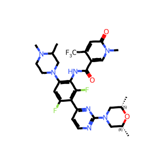 CC1CN(c2cc(F)c(-c3ccnc(N4C[C@@H](C)O[C@@H](C)C4)n3)c(F)c2NC(=O)c2cn(C)c(=O)cc2C(F)(F)F)CCN1C